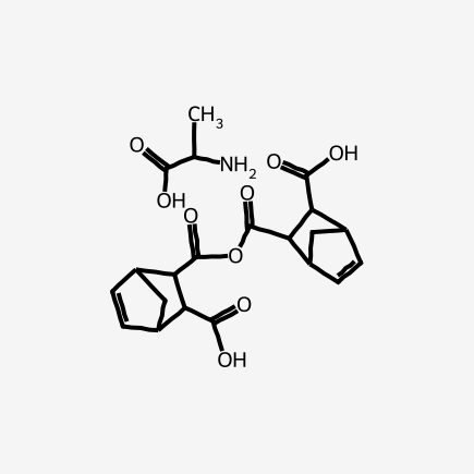 CC(N)C(=O)O.O=C(O)C1C2C=CC(C2)C1C(=O)OC(=O)C1C2C=CC(C2)C1C(=O)O